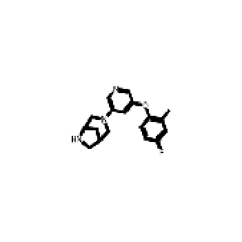 Cc1cc(F)ccc1Oc1cncc(N2CC3CNC(C3)C2)c1